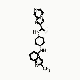 O=C(N[C@H]1CC[C@@H](Nc2cccc3nc(C(F)(F)F)cn23)CC1)c1cn2ccncc2n1